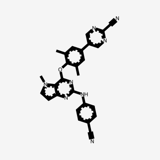 Cc1cc(-c2cnc(C#N)nc2)cc(C)c1Oc1nc(Nc2ccc(C#N)cc2)nc2ccn(C)c12